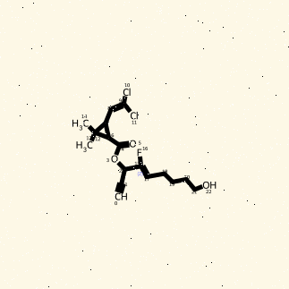 C#CC(OC(=O)C1C(C=C(Cl)Cl)C1(C)C)/C(F)=C/CCCCO